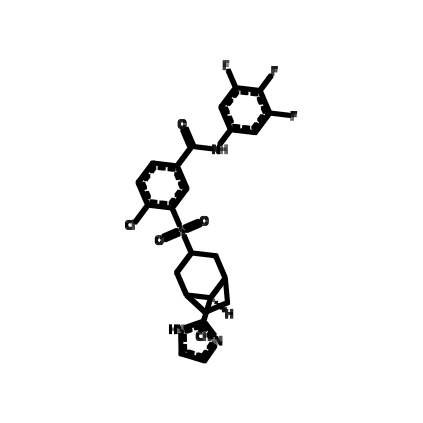 C[C@H]1CC2CC(S(=O)(=O)c3cc(C(=O)Nc4cc(F)c(F)c(F)c4)ccc3Cl)CC1[C@@H]2c1ncc[nH]1